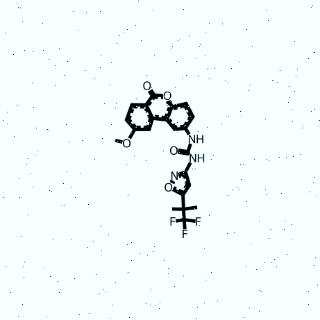 COc1ccc2c(=O)oc3ccc(NC(=O)Nc4cc(C(C)(C)C(F)(F)F)on4)cc3c2c1